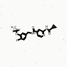 C[C@@](F)(I)Oc1cc(CNC(=O)c2ccnc(NC(=O)C3CC3)c2)ccc1F